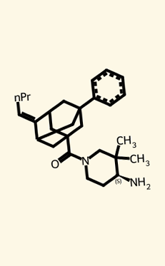 CCCC=C1C2CC3(C(=O)N4CC[C@H](N)C(C)(C)C4)CC1CC(c1ccccc1)(C2)C3